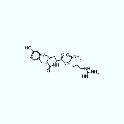 CN1C[C@@H](C(=O)N[C@@H](CCCNC(=N)N)C(N)=O)NC(=O)[C@@H]1Cc1ccc(O)cc1